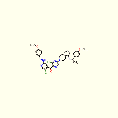 COc1ccc(CNc2cc(C(=O)c3ncc(N4CCC5(CCC[C@H]5NC(C)c5ccc(OC)cc5)CC4)nc3Cl)c(Cl)cn2)cc1